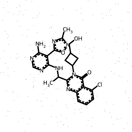 Cc1noc(-c2c(N)ncnc2NC(C)c2nc3cccc(Cl)c3c(=O)n2C2CC(CO)C2)n1